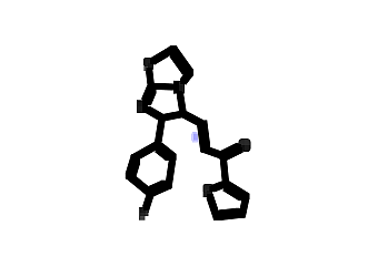 O=C(/C=C/C1C(c2ccc(F)cc2)N=C2SC=CN21)c1cccs1